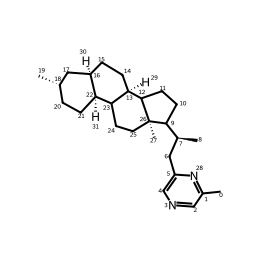 Cc1cncc(C[C@H](C)C2CCC3[C@@H]4CC[C@@H]5C[C@@H](C)CC[C@@H]5C4CC[C@@]32C)n1